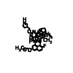 COCOc1cc(-c2ncc3c(N4CC5CCC(C5)C4)nc(OCC4CCNC4)nc3c2F)c2c(C#C[Si](C(C)C)(C(C)C)C(C)C)c(F)ccc2c1